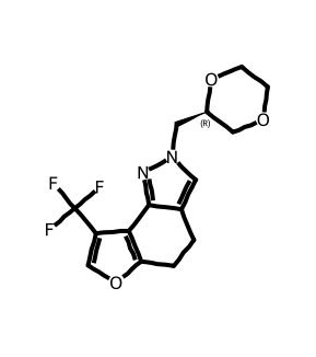 FC(F)(F)c1coc2c1-c1nn(C[C@@H]3COCCO3)cc1CC2